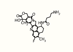 Cc1c(F)cc2nc3c(c4c2c1CC[C@@H]4NC(=O)CCCN)Cn1c-3cc2c(c1=O)COC(=O)[C@@]2(C)O